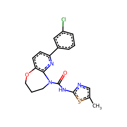 Cc1cnc(NC(=O)N2CCCOc3ccc(-c4cccc(Cl)c4)nc32)s1